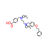 CN(CCCN(C)Cc1ccc(C(=O)O)cc1)Cc1ccc(OCCc2ccccc2)cc1